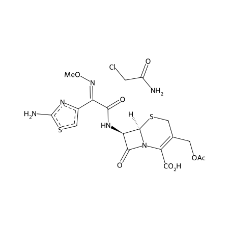 CO/N=C(/C(=O)N[C@@H]1C(=O)N2C(C(=O)O)=C(COC(C)=O)CS[C@H]12)c1csc(N)n1.NC(=O)CCl